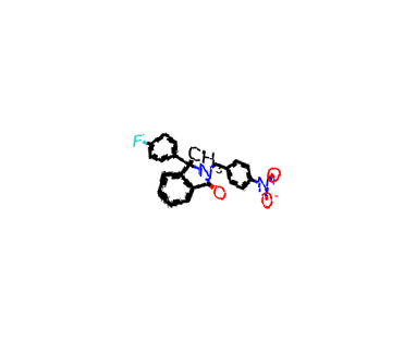 CC1(c2ccc(F)cc2)c2ccccc2C(=O)N1Cc1ccc([N+](=O)[O-])cc1